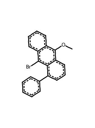 COc1c2ccccc2c(Br)c2c(-c3ccccc3)cccc12